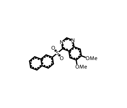 COc1cc2ncnc(S(=O)(=O)c3ccc4ccccc4c3)c2cc1OC